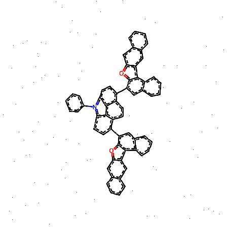 c1ccc(-n2c3ccc(-c4cc5ccccc5c5c4oc4cc6ccccc6cc45)c4ccc5c(-c6cc7ccccc7c7c6oc6cc8ccccc8cc67)ccc2c5c43)cc1